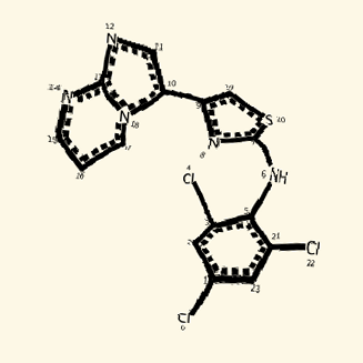 Clc1cc(Cl)c(Nc2nc(-c3cnc4ncccn34)cs2)c(Cl)c1